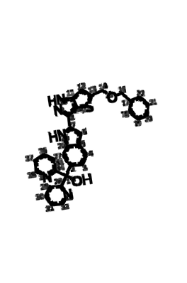 OC(c1ccc2cc(-c3n[nH]c4cc(COCc5ccccc5)sc34)[nH]c2c1)(c1ccccn1)c1ccccn1